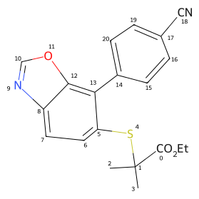 CCOC(=O)C(C)(C)Sc1ccc2ncoc2c1-c1ccc(C#N)cc1